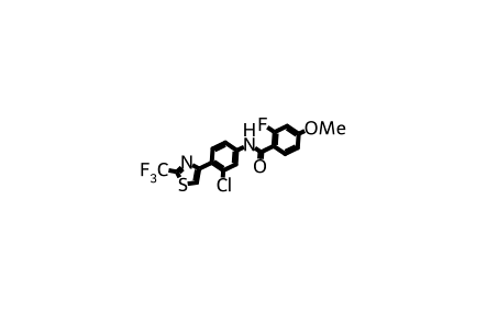 COc1ccc(C(=O)Nc2ccc(-c3csc(C(F)(F)F)n3)c(Cl)c2)c(F)c1